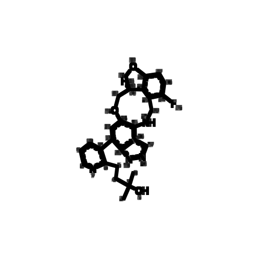 CC(C)(O)CCc1ncccc1-c1cc2c(n3cnnc13)NCc1c(F)ccc3c1[C@@H](CO3)CO2